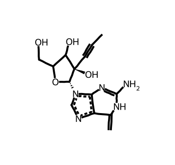 C=C1NC(N)=Nc2c1ncn2[C@@H]1OC(CO)C(O)[C@]1(O)C#CC